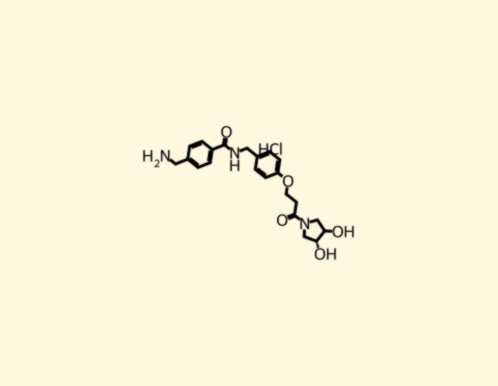 Cl.NCc1ccc(C(=O)NCc2ccc(OCCC(=O)N3CC(O)[C@@H](O)C3)cc2)cc1